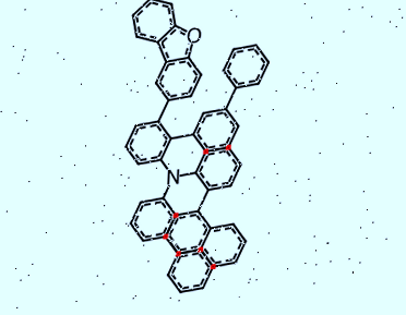 c1ccc(-c2cccc(-c3c(-c4ccc5oc6ccccc6c5c4)cccc3N(c3cccc(-c4ccccc4)c3)c3ccccc3-c3cccc4ccccc34)c2)cc1